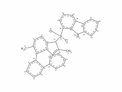 CC1=Cc2c(ccc(C)c2-c2ccccc2-c2ccccc2)[CH]1[Zr]([Cl])([Cl])[c]1cccc2c1[SiH2]c1ccccc1-2